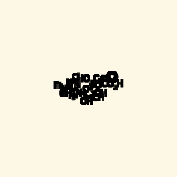 C#C[C@@H](O)[C@@H](O[C@@H](CO)COC(Cc1ccccc1)(C(=O)O)C(=O)O)n1cnc2c(N(C)CC)nc(Cl)nc21